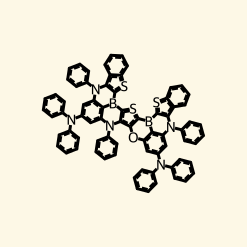 c1ccc(N(c2ccccc2)c2cc3c4c(c2)N(c2ccccc2)c2c(sc5ccccc25)B4c2sc4c(c2O3)N(c2ccccc2)c2cc(N(c3ccccc3)c3ccccc3)cc3c2B4c2sc4ccccc4c2N3c2ccccc2)cc1